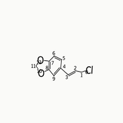 ClC/C=C/c1ccc2c(c1)OCO2